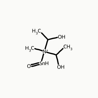 CC(O)[N+](C)([SnH]=[O])C(C)O